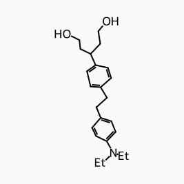 CCN(CC)c1ccc(CCc2ccc(C(CCO)CCO)cc2)cc1